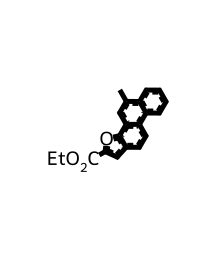 CCOC(=O)c1cc2ccc3c4ccccc4c(C)cc3c2o1